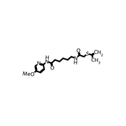 C=C(C)SCC(=O)NCCCCCC(=O)Nc1ccc(OC)cn1